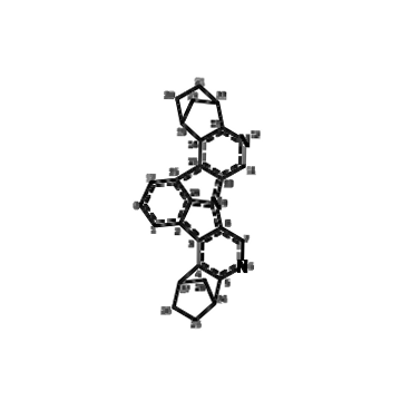 c1cc2c3c4c(ncc3n3c5cnc6c(c5c(c1)c23)C1CCC6C1)C1CCC4C1